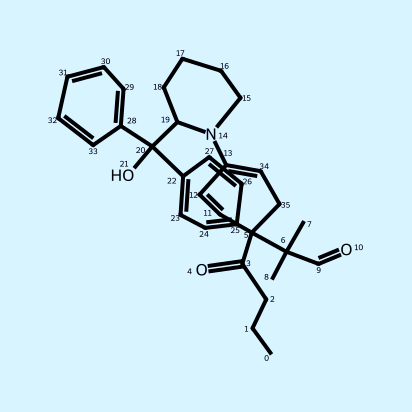 CCCC(=O)C1(C(C)(C)C=O)C=CC(N2CCCCC2C(O)(c2ccccc2)c2ccccc2)=CC1